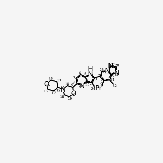 Cc1c(-c2[nH]c3ccc(C4CN(C5CCOCC5)CCO4)nc3c2C(C)C)cn2ncnc2c1C